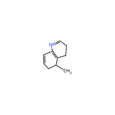 CC1CC=CC2=C1CCC=N2